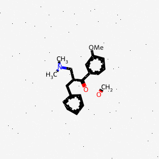 C=O.COc1cccc(C(=O)C(Cc2ccccc2)CN(C)C)c1